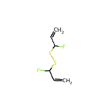 C=CC(F)SSC(F)C=C